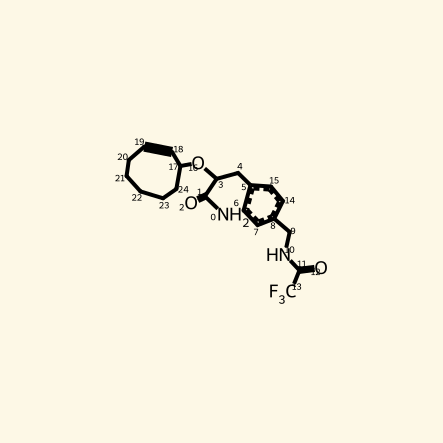 NC(=O)C(Cc1ccc(CNC(=O)C(F)(F)F)cc1)OC1C#CCCCCC1